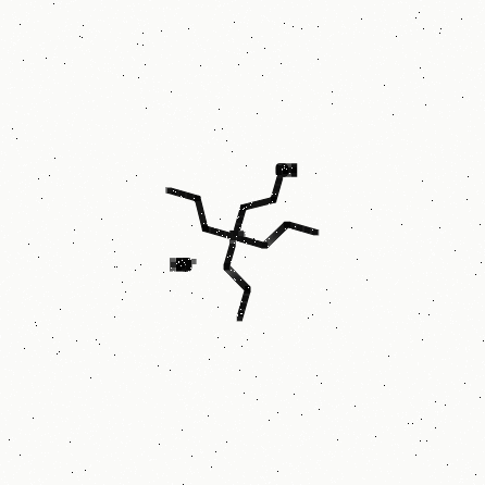 CCC[P+](CCC)(CCC)CCO.[OH-]